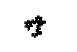 NC(=O)C=CCc1c[nH]c2ncnc(OCc3cccc(F)c3)c12